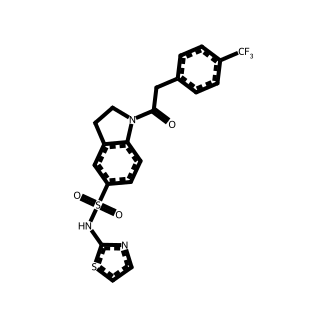 O=C(Cc1ccc(C(F)(F)F)cc1)N1CCc2cc(S(=O)(=O)Nc3nccs3)ccc21